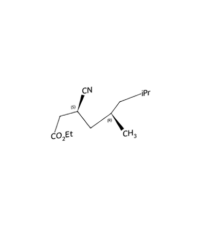 CCOC(=O)C[C@@H](C#N)C[C@H](C)CC(C)C